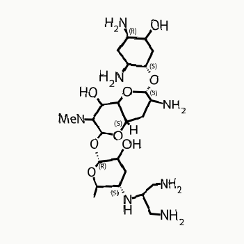 CNC1C(O[C@H]2OC(C)[C@@H](NC(CN)CN)CC2O)O[C@H]2CC(N)[C@@H](O[C@H]3CC(O)[C@H](N)CC3N)OC2C1O